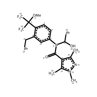 COC(c1ccc(N(C(=O)c2c(C)nn(C)c2C)C(O)C(C)C)cc1CC(C)C)(C(F)(F)F)C(F)(F)F